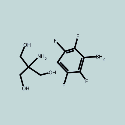 Bc1c(F)c(F)cc(F)c1F.NC(CO)(CO)CO